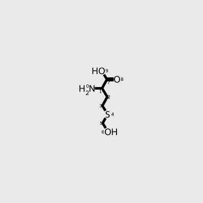 NC(CCSCO)C(=O)O